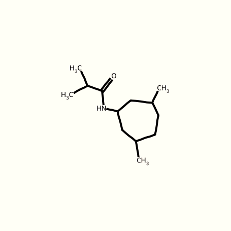 CC1CCC(C)CC(NC(=O)C(C)C)C1